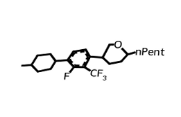 CCCCCC1CCC(c2ccc(C3CCC(C)CC3)c(F)c2C(F)(F)F)CO1